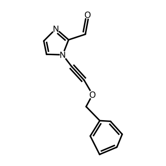 O=Cc1nccn1C#COCc1ccccc1